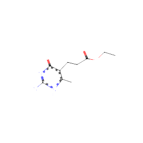 CCOC(=O)CCc1c(C)[nH]c(N)nc1=O